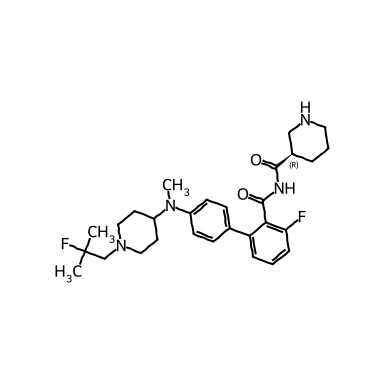 CN(c1ccc(-c2cccc(F)c2C(=O)NC(=O)[C@@H]2CCCNC2)cc1)C1CCN(CC(C)(C)F)CC1